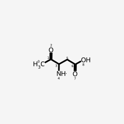 CC(=O)C([NH])CC(=O)O